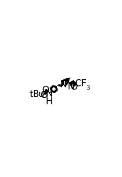 CC(C)(C)OC(=O)N[C@H]1CC[C@H](CCN2CC3C[C@]3(c3cc(C(F)(F)F)on3)C2)CC1